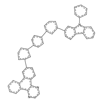 c1ccc(-n2c3ccccc3c3ccc(-c4cccc(-c5ccc(-c6cccc(-c7ccc8c(c7)c7ccccc7c7nccnc87)c6)cc5)c4)cc32)cc1